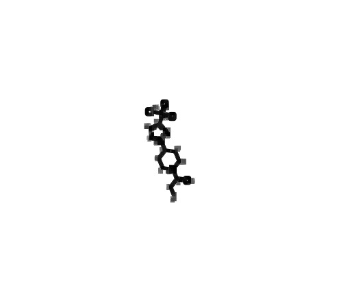 O=C(CI)N1CCC(n2ccc(S(=O)(=O)Cl)n2)CC1